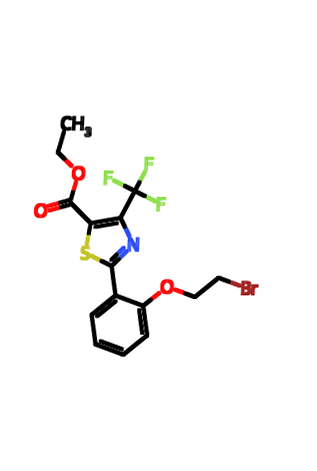 CCOC(=O)c1sc(-c2ccccc2OCCBr)nc1C(F)(F)F